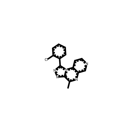 Cc1nc2cnccc2n2c(-c3ccccc3Cl)nnc12